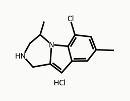 Cc1cc(Cl)c2c(c1)cc1n2C(C)CNC1.Cl